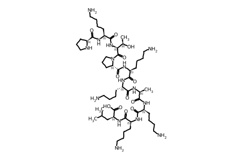 CC(C)C[C@H](NC(=O)[C@H](CCCCN)NC(=O)[C@H](CCCCN)NC(=O)[C@H](C)NC(=O)[C@H](CCCCN)NC(=O)[C@H](CCCCN)NC(=O)[C@@H]1CCCN1C(=O)[C@@H](NC(=O)[C@H](CCCCN)NC(=O)[C@@H]1CCCN1)[C@@H](C)O)C(=O)O